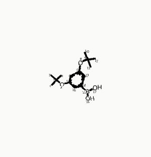 CC(C)(C)Oc1cc(OC(C)(C)C)cc(B(O)O)c1